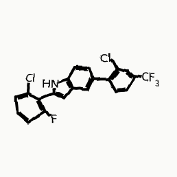 Fc1cccc(Cl)c1-c1cc2cc(-c3ccc(C(F)(F)F)cc3Cl)ccc2[nH]1